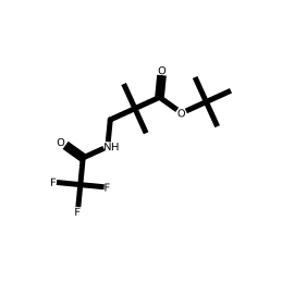 CC(C)(C)OC(=O)C(C)(C)CNC(=O)C(F)(F)F